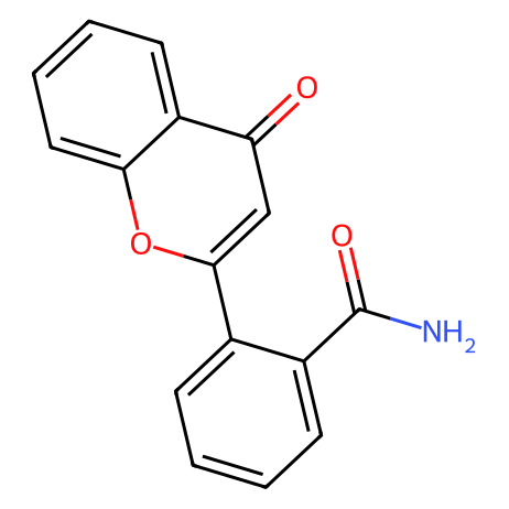 NC(=O)c1ccccc1-c1cc(=O)c2ccccc2o1